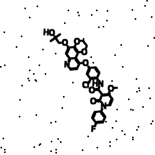 COc1ccn(-c2ccc(F)cc2)c(=O)c1C(=O)Nc1ccc(Oc2ccnc3cc(OCC(C)(C)O)c4c(c23)OCCO4)cc1Cl